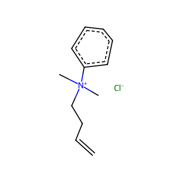 C=CCC[N+](C)(C)c1ccccc1.[Cl-]